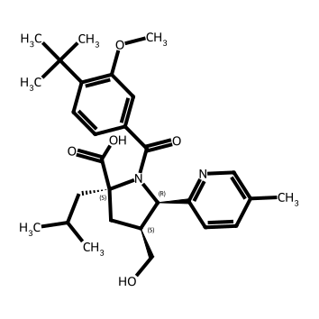 COc1cc(C(=O)N2[C@@H](c3ccc(C)cn3)[C@@H](CO)C[C@@]2(CC(C)C)C(=O)O)ccc1C(C)(C)C